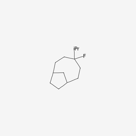 CC(C)C1(F)CCC2CCC(CC1)C2